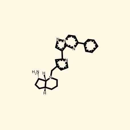 N[C@H]1CC[C@H]2CCCN(Cc3ccnc(-c4cnn5ccc(-c6ccccc6)nc45)c3)[C@H]21